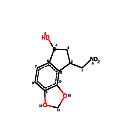 O=[N+]([O-])CC1CB(O)c2ccc3c(c21)OCO3